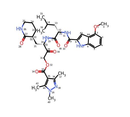 COc1cccc2[nH]c(C(=O)N[C@@H](CC(C)C)C(=O)N[C@@H](C[C@@H]3CCCNC3=O)C(=O)COC(=O)c3c(C)nn(C)c3C)cc12